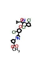 COC(=O)c1cccc(-n2cc(-c3ccc(OCc4c(-c5c(Cl)cccc5Cl)noc4C4CC4)cc3Cl)cn2)c1